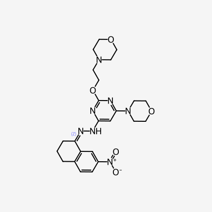 O=[N+]([O-])c1ccc2c(c1)/C(=N\Nc1cc(N3CCOCC3)nc(OCCN3CCOCC3)n1)CCC2